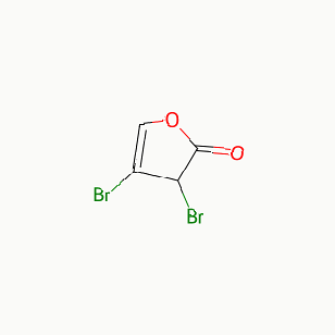 O=C1OC=C(Br)C1Br